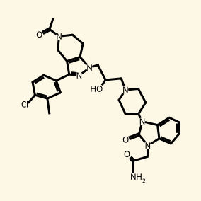 CC(=O)N1CCc2c(c(-c3ccc(Cl)c(C)c3)nn2CC(O)CN2CCC(n3c(=O)n(CC(N)=O)c4ccccc43)CC2)C1